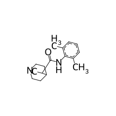 Cc1cccc(C)c1NC(=O)C1CN2CCC1CC2